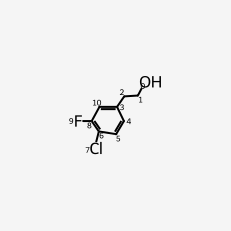 OCCc1ccc(Cl)c(F)c1